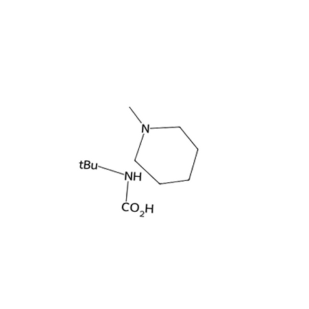 CC(C)(C)NC(=O)O.CN1CCCCC1